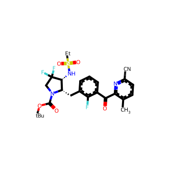 CCS(=O)(=O)N[C@@H]1[C@H](Cc2cccc(C(=O)c3nc(C#N)ccc3C)c2F)N(C(=O)OC(C)(C)C)CC1(F)F